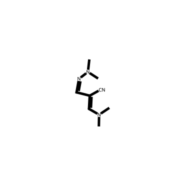 CN(C)/C=C(C#N)/C=N\N(C)C